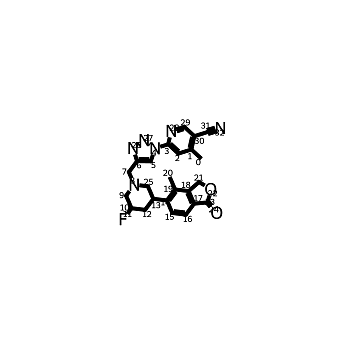 Cc1cc(-n2cc(CN3CC(F)CC(c4ccc5c(c4C)COC5=O)C3)nn2)ncc1C#N